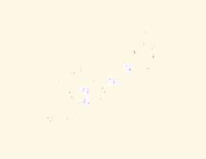 COC(=O)c1nn(CC(=O)N2CCN(c3cccc(C)c3C)CC2)c2c1CCC2O